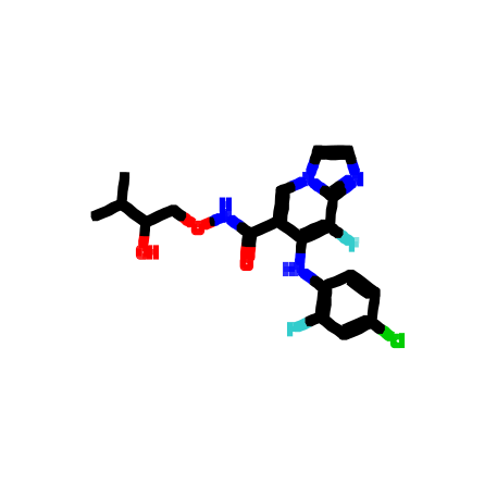 CC(C)C(O)CONC(=O)c1cn2ccnc2c(F)c1Nc1ccc(Cl)cc1F